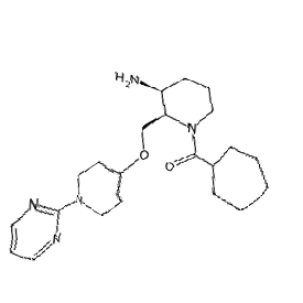 N[C@H]1CCCN(C(=O)C2CCCCC2)[C@H]1COC1CCN(c2ncccn2)CC1